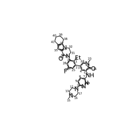 CCc1c(-c2cc(Nc3ccc(N4CCN(C)CC4)nn3)c(=O)n(C)c2)cc(F)cc1N1CCn2c(cc3c2CCCC3)C1=O